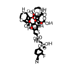 N#Cc1ccc(OP(=O)(O)CNS(=O)(=O)c2cc3c(F)c(-c4cc5c(CC(=O)O)c(c4CC(=O)O)C(=O)NCCO5)c(-c4cc5c(CC(=O)O)c(c4CC(=O)O)C(=O)NCCO5)c(F)c3s2)cc1F